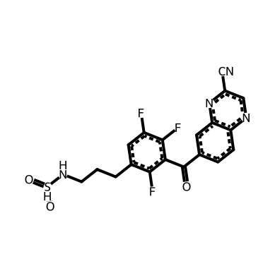 N#Cc1cnc2ccc(C(=O)c3c(F)c(F)cc(CCCN[SH](=O)=O)c3F)cc2n1